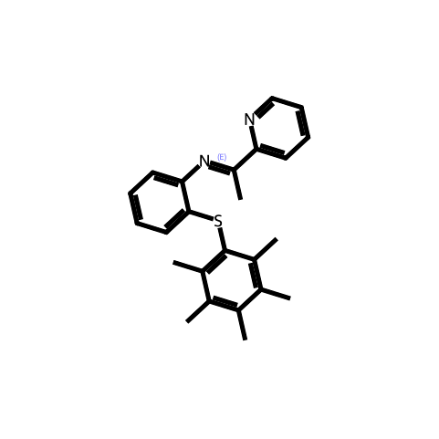 C/C(=N\c1ccccc1Sc1c(C)c(C)c(C)c(C)c1C)c1ccccn1